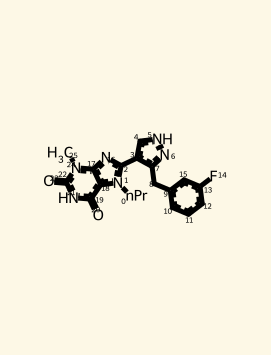 CCCn1c(-c2c[nH]nc2Cc2cccc(F)c2)nc2c1c(=O)[nH]c(=O)n2C